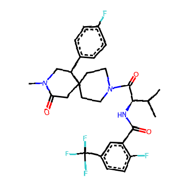 CC(C)[C@@H](NC(=O)c1cc(C(F)(F)F)ccc1F)C(=O)N1CCC2(CC1)CC(=O)N(C)CC2c1ccc(F)cc1